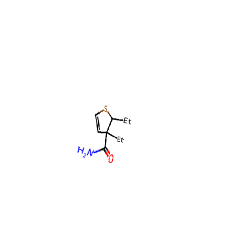 CCC1SC=CC1(CC)C(N)=O